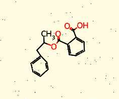 CC(Cc1ccccc1)OC(=O)c1ccccc1C(=O)O